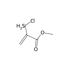 C=C([SiH2]Cl)C(=O)OC